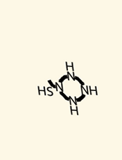 CC(S)N1CCNCCNCCNCC1